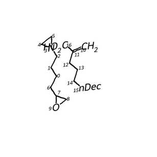 C(CCN1CC1)CC1CO1.C=C(CCCCCCCCCCCCC)C(=O)O